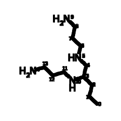 CCCC(CNCCCN)NCCCN